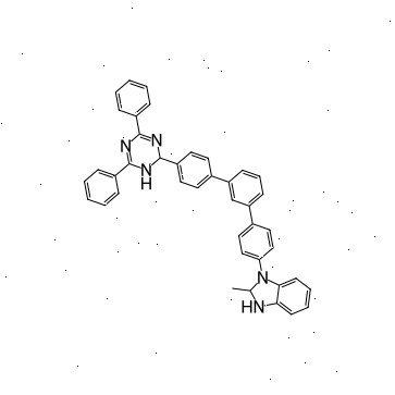 CC1Nc2ccccc2N1c1ccc(-c2cccc(-c3ccc(C4N=C(c5ccccc5)N=C(c5ccccc5)N4)cc3)c2)cc1